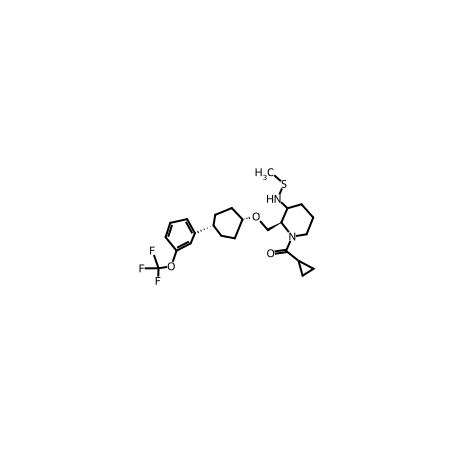 CSNC1CCCN(C(=O)C2CC2)[C@H]1CO[C@H]1CC[C@@H](c2cccc(OC(F)(F)F)c2)CC1